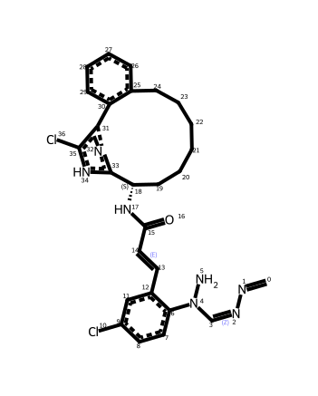 C=N/N=C\N(N)c1ccc(Cl)cc1/C=C/C(=O)N[C@H]1CCCCCCc2ccccc2-c2nc1[nH]c2Cl